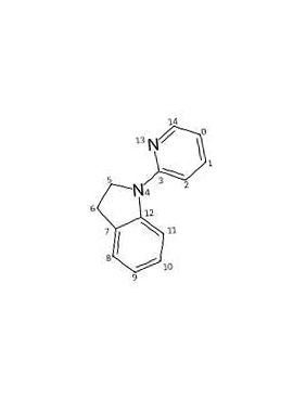 c1ccc(N2CCc3ccccc32)nc1